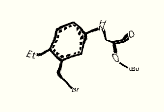 CCc1ccc(NC(=O)OC(C)(C)C)cc1CBr